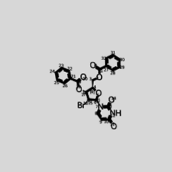 O=C(OC[C@H]1O[C@@H](n2ccc(=O)[nH]c2=O)[C@H](Br)[C@@H]1OC(=O)c1ccccc1)c1ccccc1